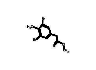 COC(=O)Cc1cc(Br)c(C)c(Br)c1